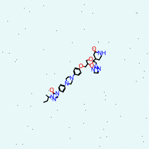 CCC(C)n1ncn(-c2ccc(N3CCN(c4ccc(OCC5COC(Cn6nccn6)(C6CCNC(=O)C6)O5)cc4)CC3)cc2)c1=O